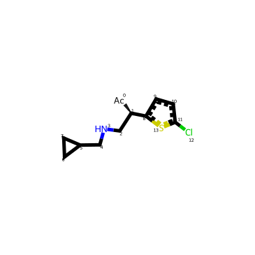 CC(=O)[C@H](CNCC1CC1)c1ccc(Cl)s1